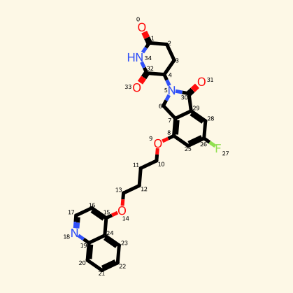 O=C1CCC(N2Cc3c(OCCCCOc4ccnc5ccccc45)cc(F)cc3C2=O)C(=O)N1